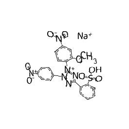 COc1cc([N+](=O)[O-])ccc1-[n+]1nc(-c2ccccc2S(=O)(=O)O)nn1-c1ccc([N+](=O)[O-])cc1.[Na+]